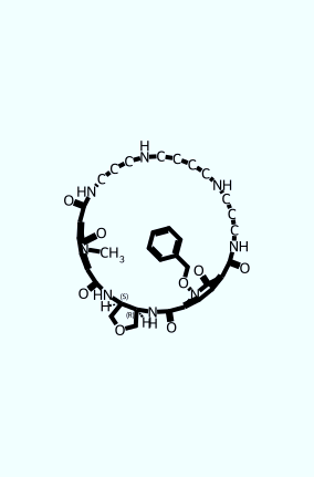 Cn1c2ccc(c1=O)C(=O)NCCCNCCCCNCCCNC(=O)c1ccc(n(OCc3ccccc3)c1=O)C(=O)N[C@H]1COC[C@H]1NC2=O